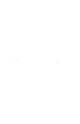 O=[N+]([O-])c1ccc(C2CCN(S)CC2)cc1